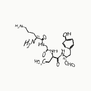 NCCC[C@H](N)C(=O)NCC(=O)NC(CC(=O)O)C(=O)N[C@@H](C=O)Cc1ccc(O)cc1